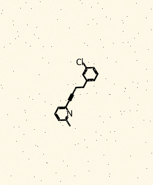 Cc1cccc(C#CCCc2cccc(Cl)c2)n1